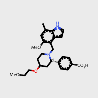 COCCOC1CCN(Cc2c(OC)cc(C)c3[nH]ccc23)[C@H](c2ccc(C(=O)O)cc2)C1